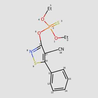 CCOP(=S)(OCC)Oc1nsc(-c2ccccc2)c1C#N